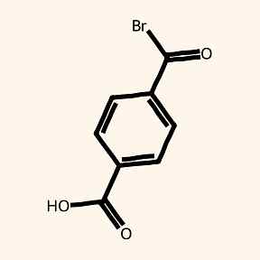 O=C(O)c1ccc(C(=O)Br)cc1